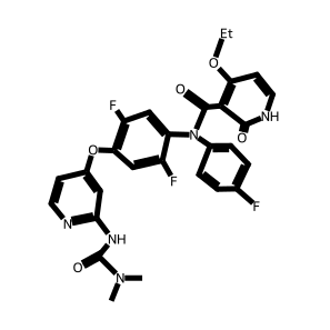 CCOc1cc[nH]c(=O)c1C(=O)N(c1ccc(F)cc1)c1cc(F)c(Oc2ccnc(NC(=O)N(C)C)c2)cc1F